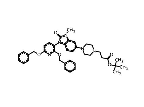 Cn1c(=O)n(-c2ccc(OCc3ccccc3)nc2OCc2ccccc2)c2ccc(N3CCN(CCC(=O)OC(C)(C)C)CC3)cc21